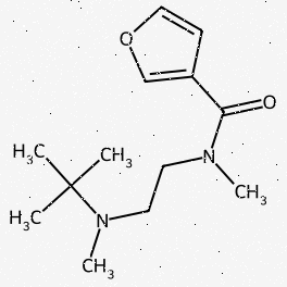 CN(CCN(C)C(C)(C)C)C(=O)c1ccoc1